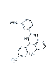 COc1cccc(C(=O)NC(c2ccc(C(F)(F)F)cc2)c2ncccc2C(F)(F)F)n1